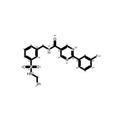 CC(C)CNS(=O)(=O)c1cccc(CNC(=O)c2cnc(-c3cccc(F)c3)nc2)c1